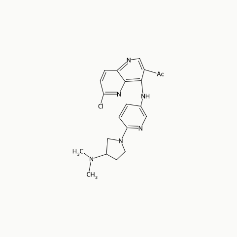 CC(=O)c1cnc2ccc(Cl)nc2c1Nc1ccc(N2CCC(N(C)C)C2)nc1